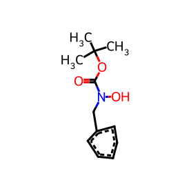 CC(C)(C)OC(=O)N(O)Cc1ccccc1